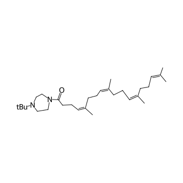 CC(C)=CCCC(C)=CCCC(C)=CCCC(C)=CCCC(=O)N1CCN(C(C)(C)C)CC1